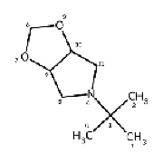 CC(C)(C)N1CC2OCOC2C1